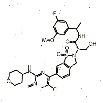 C=N/C(=N\C(=C(/C)Cl)c1ccc2c(c1)S(=O)(=O)N(C(CO)C(=O)NC(C)c1cc(F)cc(OC)c1)C2)NC1CCOCC1